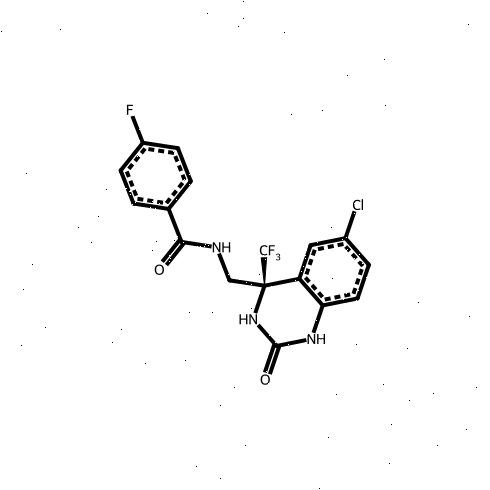 O=C1Nc2ccc(Cl)cc2[C@](CNC(=O)c2ccc(F)cc2)(C(F)(F)F)N1